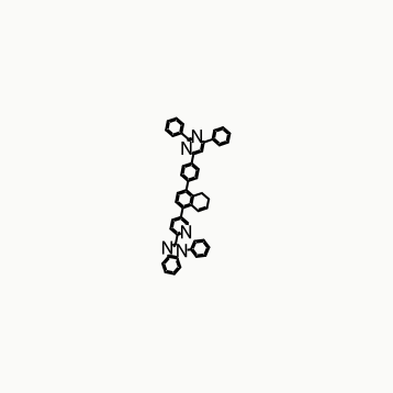 C1=Cc2c(-c3ccc(-c4nc5ccccc5n4-c4ccccc4)nc3)ccc(-c3ccc(-c4cc(-c5ccccc5)nc(-c5ccccc5)n4)cc3)c2CC1